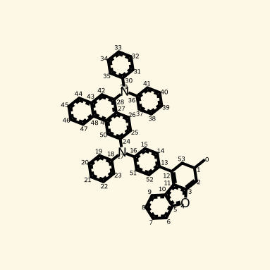 CC1C=c2oc3ccccc3c2=C(c2ccc(N(c3ccccc3)c3ccc4c(N(c5ccccc5)c5ccccc5)cc5ccccc5c4c3)cc2)C1